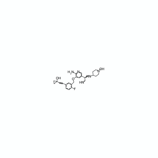 N=C/C(=C\NC1CCN(O)CC1)c1cnc(N)c(OCc2cc(C#CC3(O)CC3)ccc2F)c1